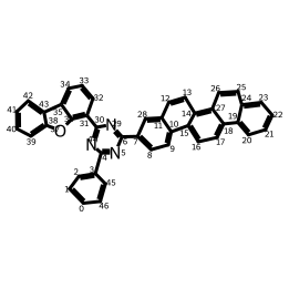 c1ccc(-c2nc(-c3ccc4c(ccc5c4ccc4c6ccccc6ccc45)c3)nc(-c3cccc4c3oc3ccccc34)n2)cc1